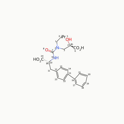 CC(C)CN(C[C@@H](O)C(=O)O)C(=O)N[C@H](Cc1ccc(-c2ccccc2)cc1)C(=O)O